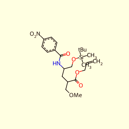 C=CCOC(=O)C(COC)CC(CO[Si](C)(C)C(C)(C)C)NC(=O)c1ccc([N+](=O)[O-])cc1